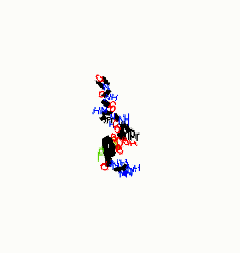 CC(C)C[C@H](NC(=O)CNC(=O)CN1CCOCC1)C(=O)NCC(=O)N[C@@H](CC(C)C)C(=O)C(C)(O)COS(=O)(=O)c1ccc(F)c(C(=O)NCc2c[nH]nn2)c1